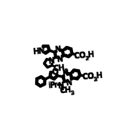 CC(C)N(C)c1nc2cc(C(=O)O)ccc2nc1-c1cc(-c2ccccc2)co1.C[C@H]1CCCN1c1nc2cc(C(=O)O)ccc2nc1-c1cc[nH]c1